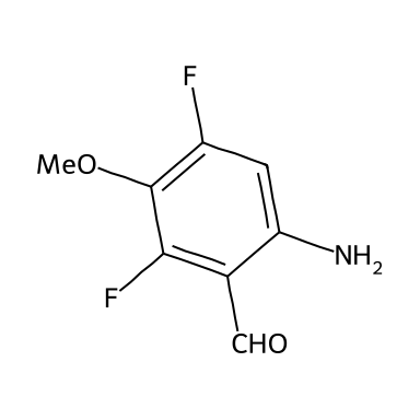 COc1c(F)cc(N)c(C=O)c1F